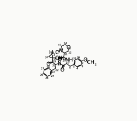 COc1ccc(CC(NC(=O)C2COCCN2C)C(=O)N[C@@H](Cc2ccccc2)C(=O)C2(C)CC2)cc1